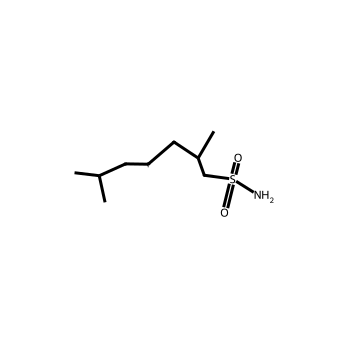 CC(C)C[CH]CC(C)CS(N)(=O)=O